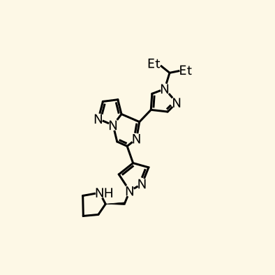 CCC(CC)n1cc(-c2nc(-c3cnn(C[C@H]4CCCN4)c3)cn3nccc23)cn1